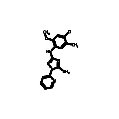 COc1cc(Cl)c(C)cc1Nc1nc(N)n(-c2ccccn2)n1